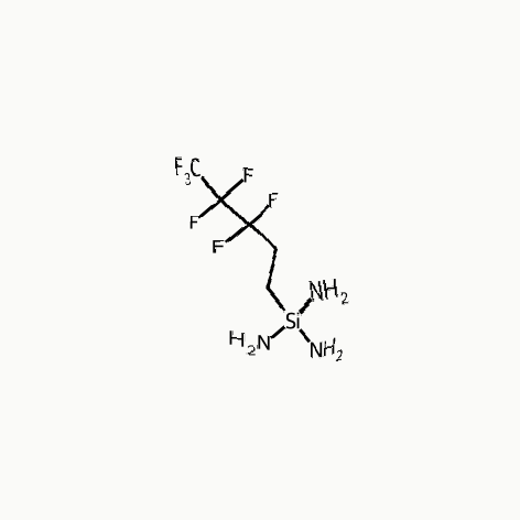 N[Si](N)(N)CCC(F)(F)C(F)(F)C(F)(F)F